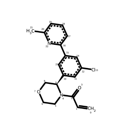 C=CC(=O)N1CCOC[C@H]1c1cc(Cl)cc(-c2cccc(C)n2)c1